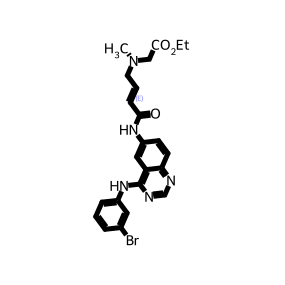 CCOC(=O)CN(C)C/C=C/C(=O)Nc1ccc2ncnc(Nc3cccc(Br)c3)c2c1